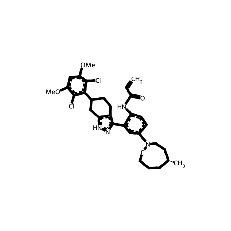 C=CC(=O)Nc1ccc(N2CCCC[C@@H](C)CC2)cc1-c1n[nH]c2c1CCC(c1c(Cl)c(OC)cc(OC)c1Cl)C2